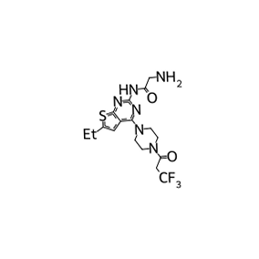 CCc1cc2c(N3CCN(C(=O)CC(F)(F)F)CC3)nc(NC(=O)CN)nc2s1